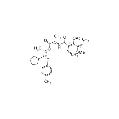 C=N/C(C(=O)N[C@@H](C)C(=O)O[C@@H](C)[C@H](Oc1ccc(C)cc1)C1CCCC1)=C(OC(C)=O)\C(=C/C)OC